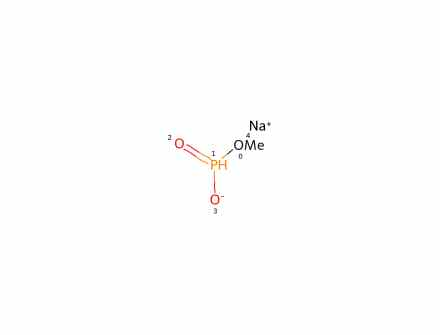 CO[PH](=O)[O-].[Na+]